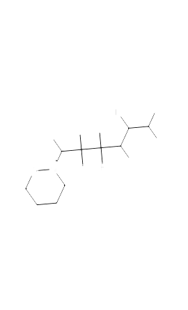 FC(F)C(F)C(F)C(F)(F)C(F)(F)C(F)[SiH]1CCCCO1